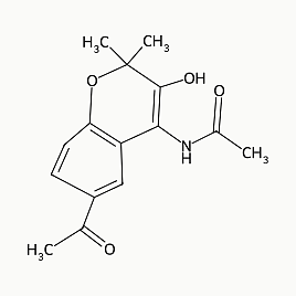 CC(=O)NC1=C(O)C(C)(C)Oc2ccc(C(C)=O)cc21